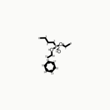 CCCCP(=O)(OCC)OCC.c1ccccc1